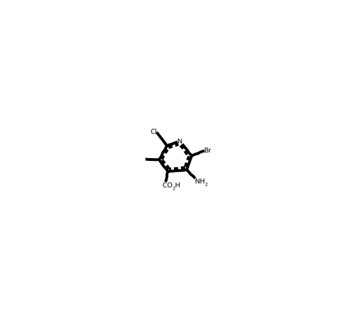 Cc1c(Cl)nc(Br)c(N)c1C(=O)O